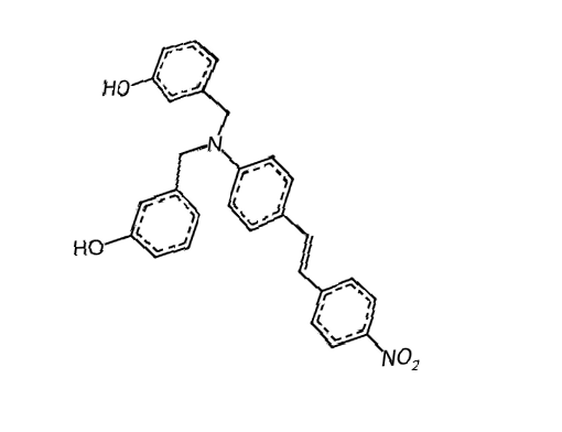 O=[N+]([O-])c1ccc(C=Cc2ccc(N(Cc3cccc(O)c3)Cc3cccc(O)c3)cc2)cc1